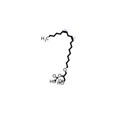 CCCCC/C=C\C/C=C\CCCCCCCCOCC(CO)OP(=O)(O)O